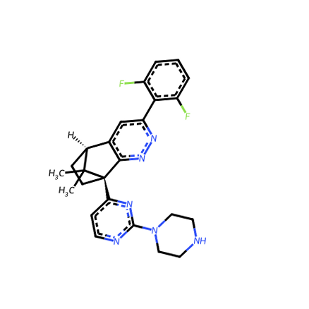 CC1(C)[C@H]2CC[C@@]1(c1ccnc(N3CCNCC3)n1)c1nnc(-c3c(F)cccc3F)cc12